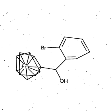 OC(c1ccccc1Br)[C]12[CH]3[CH]4[CH]5[CH]1[Fe]45321678[CH]2[CH]1[CH]6[CH]7[CH]28